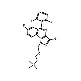 C[Si](C)(C)CCOCn1nc(Br)c2nc(-c3c(F)cccc3F)c3cc(F)ccc3c21